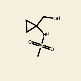 CS(=O)(=O)NC1(CO)CC1